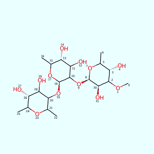 COC1[C@@H](O)C(C)O[C@H](OC2C(O)[C@@H](O)C(C)O[C@@H]2OC2C(C)OC(C)[C@H](O)C2O)[C@@H]1O